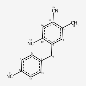 Cc1cc(Cc2ccc(C#N)cc2)c(C#N)cc1C#N